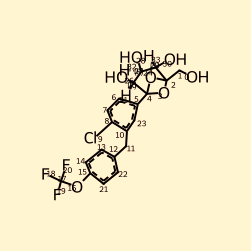 OCC12OC(c3ccc(Cl)c(Cc4ccc(OC(F)(F)F)cc4)c3)(O1)[C@H](O)[C@@H](O)[C@@H]2O